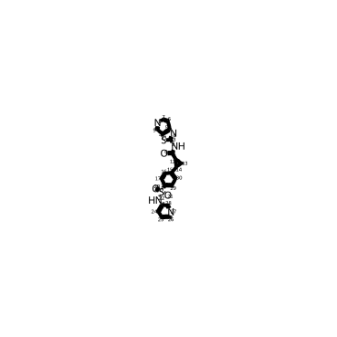 O=C(Nc1nc2ccncc2s1)C1CC1c1ccc(S(=O)(=O)Nc2cccnc2)cc1